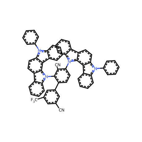 N#Cc1cc(-c2ccc(-n3c4ccccc4c4ccc5c(c6ccccc6n5-c5ccccc5)c43)c(C#N)c2-n2c3ccccc3c3ccc4c(c5ccccc5n4-c4ccccc4)c32)cc(C(F)(F)F)c1